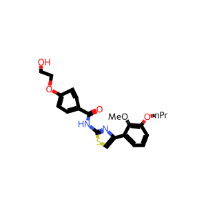 CCCOc1cccc(-c2csc(NC(=O)c3ccc(OCCO)cc3)n2)c1OC